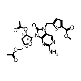 COC(=O)c1ccc(Cn2c(=O)n([C@@H]3O[C@H](COC(C)=O)C[C@H]3OC(C)=O)c3nc(N)ncc32)s1